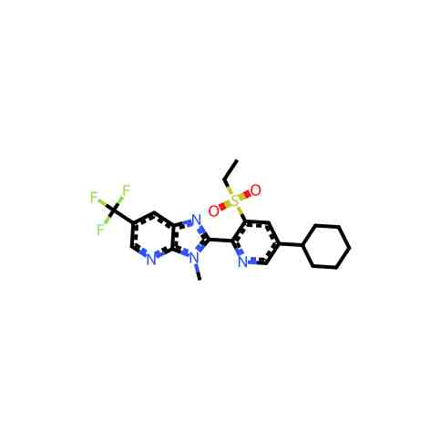 CCS(=O)(=O)c1cc(C2CCCCC2)cnc1-c1nc2cc(C(F)(F)F)cnc2n1C